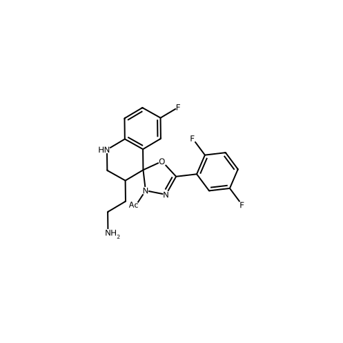 CC(=O)N1N=C(c2cc(F)ccc2F)OC12c1cc(F)ccc1NCC2CCN